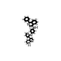 c1ccc(-c2nnc(Nc3ccc(Oc4ncccc4-c4ccnc5c4CCCN5)cc3)c3ccccc23)cc1